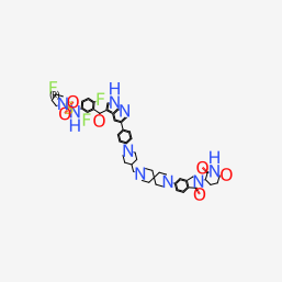 O=C1CCC(N2Cc3cc(N4CCC5(CCN(CC6CCN(c7ccc(-c8cnc9[nH]cc(C(=O)c%10c(F)ccc(NS(=O)(=O)N%11CC[C@@H](F)C%11)c%10F)c9c8)cc7)CC6)CC5)CC4)ccc3C2=O)C(=O)N1